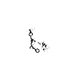 CCC(COP(=O)(COCCn1cnc2c(=O)[nH]c(N)nc21)OCc1ccc(S(C)(=O)=O)cc1)OCc1ccccc1